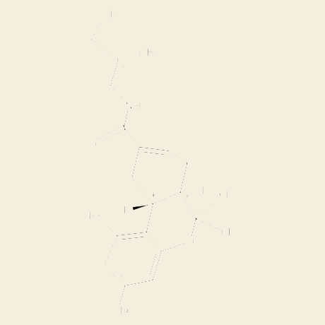 CC(C)(C)c1cc(O)c2c(c1)OC(C)(C)[C@@H]1CC=C(C(=O)NC[C@@H](O)CO)C[C@@H]21